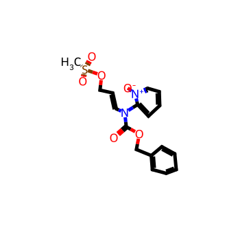 CS(=O)(=O)OCC=CN(C(=O)OCc1ccccc1)c1cccc[n+]1[O-]